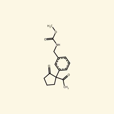 COC(=O)NCc1cccc(C2(C(C)=O)CCCC2=O)c1